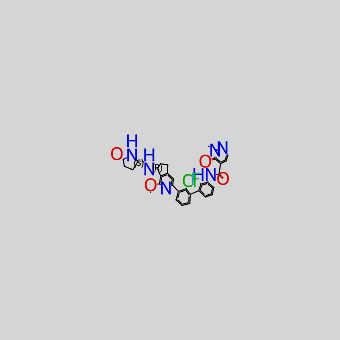 COc1nc(-c2cccc(-c3cccc(NC(=O)c4ccnn(C)c4=O)c3F)c2Cl)cc2c1[C@H](NC[C@@H]1CCC(=O)N1)CC2